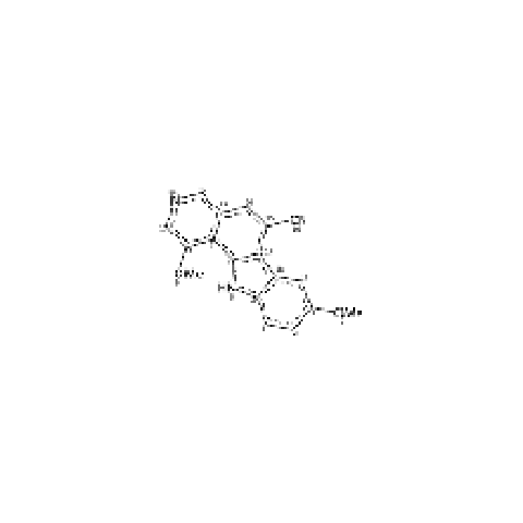 COc1ccc2[nH]c3c4c(OC)cncc4cc(C#N)c3c2c1